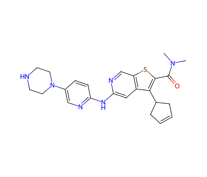 CN(C)C(=O)c1sc2cnc(Nc3ccc(N4CCNCC4)cn3)cc2c1C1CC=CC1